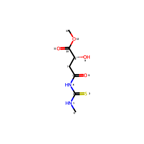 CNC(=S)NC(=O)C[C@@H](O)C(=O)OC